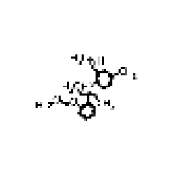 CCC(CC)(Pc1ccc(C)cc1CNC)c1ccccc1OCOC